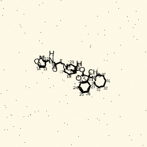 CC(C(=O)O[C@H]1C[N+]2(CC(=O)Nc3ccon3)CCC1CC2)(c1ccccc1)N1CCCCCC1